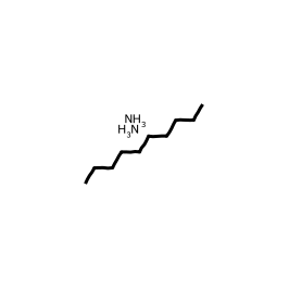 CCCCCCCCCC.N.N